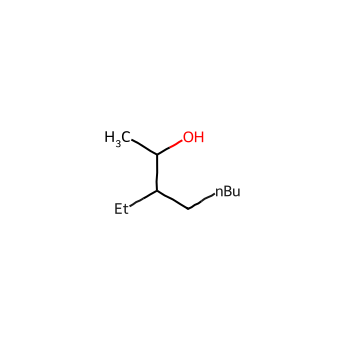 [CH2]CCCCC(CC)C(C)O